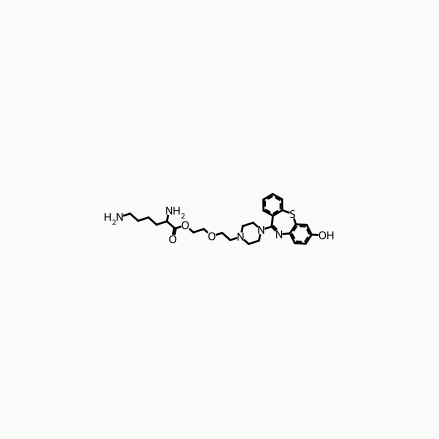 NCCCCC(N)C(=O)OCCOCCN1CCN(C2=Nc3ccc(O)cc3Sc3ccccc32)CC1